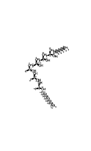 OB(O)F.OB(O)F.OB(O)F.OB(O)F.OB(O)F.OB(O)F.P.P.P.P.P.P.P.P.P.P.P.P